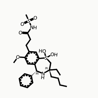 CCCC[C@]1(CC)CS(O)(O)c2cc(CCC(=O)NS(C)(=O)=O)c(OC)cc2[C@@H](c2ccccc2)N1